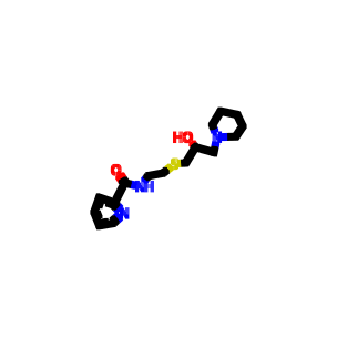 O=C(NCCSCC(O)CN1CCCCC1)c1ccccn1